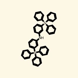 c1ccc([Si](c2ccccc2)(c2ccccc2)c2cccc(Nc3cccc([Si](c4ccccc4)(c4ccccc4)c4ccccc4)c3)c2)cc1